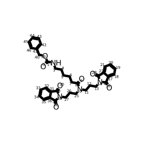 O=C(NCCCCCC(=O)N(CCCN1C(=O)c2ccccc2C1=O)CCCN1C(=O)c2ccccc2C1=O)OCc1ccccc1